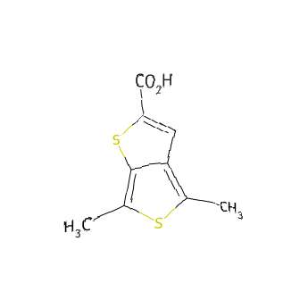 Cc1sc(C)c2sc(C(=O)O)cc12